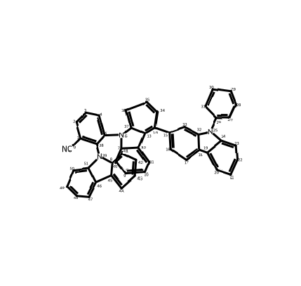 N#Cc1cccc(-n2c3ccccc3c3c(-c4ccc5c6ccccc6n(-c6ccccc6)c5c4)cccc32)c1-n1c2ccccc2c2ccccc21